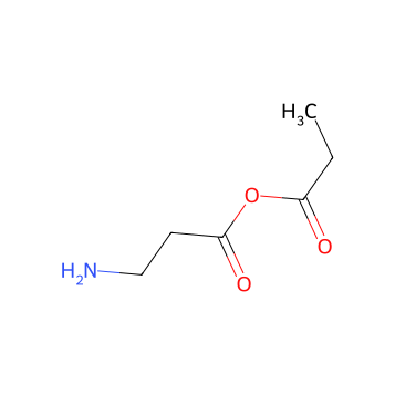 CCC(=O)OC(=O)CCN